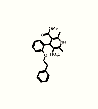 COC(=O)C1=C(C)NC(C)=C(C(=O)O)C1c1ccccc1OCCc1ccccc1